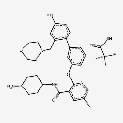 NC1CCC(NC(=O)c2cc(F)cnc2Oc2cccc(-c3ccc(O)cc3CN3CCOCC3)c2)CC1.O=C(O)C(F)(F)F